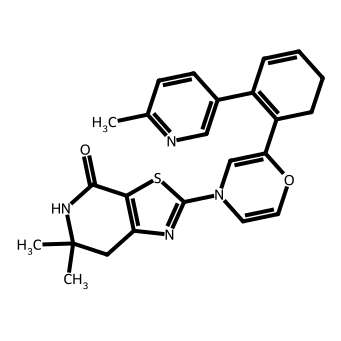 Cc1ccc(C2=C(C3=CN(c4nc5c(s4)C(=O)NC(C)(C)C5)C=CO3)CCC=C2)cn1